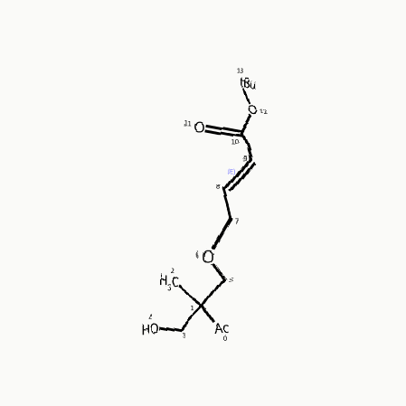 CC(=O)C(C)(CO)COC/C=C/C(=O)OC(C)(C)C